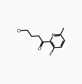 Cc1ccc(F)c(C(=O)CCCCl)n1